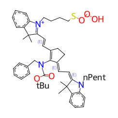 CCCCCN1/C(=C/C=C2\CCC(/C=C/C3=[N+](CCCCSOOO)c4ccccc4C3(C)C)=C2N(Cc2ccccc2)C(=O)OC(C)(C)C)C(C)(C)c2ccccc21